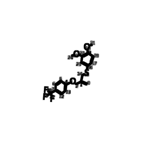 C=C(COc1ccc(C(F)(F)F)cc1)CSc1ccc(OC)c(OC)c1